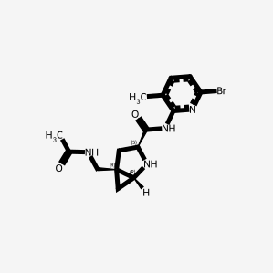 CC(=O)NC[C@@]12C[C@@H](C(=O)Nc3nc(Br)ccc3C)N[C@@H]1C2